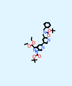 CCOC(OCC)c1nn(C(=O)OC(C)(C)C)c2cnc(-c3cncc(CN(Cc4ccccc4)C(=O)OC(C)(C)C)c3)cc12